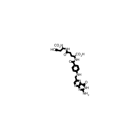 C#CC[C@H](NC(=O)CC[C@H](NC(=O)c1ccc(NCc2cnc3nc(N)[nH]c(=O)c3n2)cc1)C(=O)O)C(=O)O